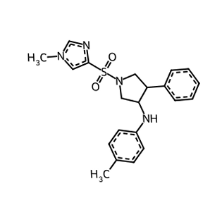 Cc1ccc(NC2CN(S(=O)(=O)c3cn(C)cn3)CC2c2ccccc2)cc1